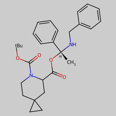 CC(C)(C)OC(=O)N1CCC2(CC2)CC1C(=O)O[C@@](C)(NCc1ccccc1)c1ccccc1